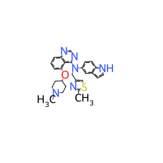 Cc1nc(CN(c2ccc3[nH]ccc3c2)c2ncnc3cccc(OC4CCN(C)CC4)c23)cs1